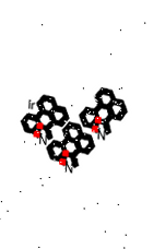 C1=NC=C(c2cccc3cccc(-c4ccccc4)c23)C1.C1=NC=C(c2cccc3cccc(-c4ccccc4)c23)C1.C1=NC=C(c2cccc3cccc(-c4ccccc4)c23)C1.[Ir]